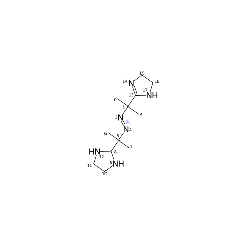 CC(C)(/N=N/C(C)(C)C1NCCN1)C1=NCCN1